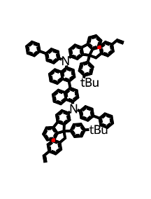 C=Cc1ccc(CC2(c3ccc(C(C)(C)C)cc3)c3ccccc3-c3ccc(N(c4ccc(-c5ccccc5)cc4)c4ccc(-c5ccc(N(c6ccc(-c7ccccc7)cc6)c6ccc7c(c6)C(Cc6ccc(C=C)cc6)(c6ccc(C(C)(C)C)cc6)c6ccccc6-7)c6ccccc56)c5ccccc45)cc32)cc1